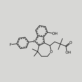 CC(C)(CC1OCCC(C)(C)c2c1c1c(O)cccc1n2-c1ccc(F)cc1)C(=O)O